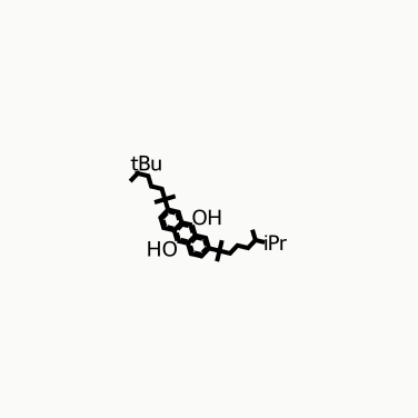 CC(C)C(C)CCCC(C)(C)c1ccc2c(O)c3ccc(C(C)(C)CCCC(C)C(C)(C)C)cc3c(O)c2c1